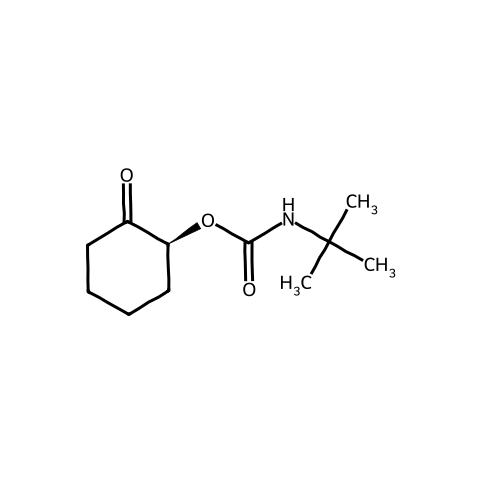 CC(C)(C)NC(=O)O[C@H]1CCCCC1=O